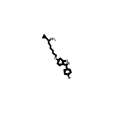 NC(CCCCCCOc1ccc2c(-c3ccc(Br)cc3)noc2c1)C1CC1